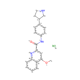 COc1cc(C(=O)Nc2ccc(C3CCNC3)cc2)nc2ccccc12.Cl